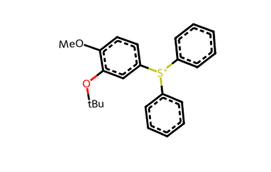 COc1ccc([S+](c2ccccc2)c2ccccc2)cc1OC(C)(C)C